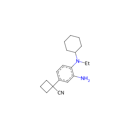 CCN(c1ccc(C2(C#N)CCC2)cc1N)C1CCCCC1